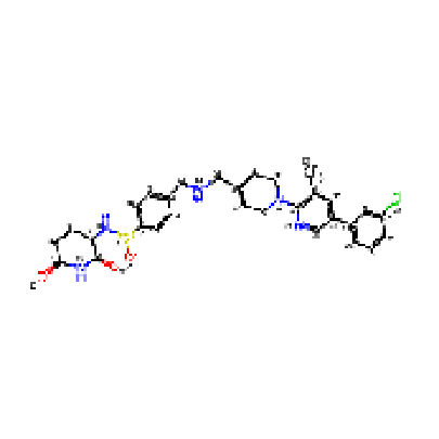 O=C1CCC(N[S+]([O-])c2ccc(CNCC3CCN(c4ncc(-c5cccc(Cl)c5)cc4C(F)(F)F)CC3)cc2)C(=O)N1